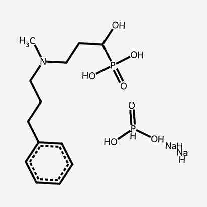 CN(CCCc1ccccc1)CCC(O)P(=O)(O)O.O=[PH](O)O.[NaH].[NaH]